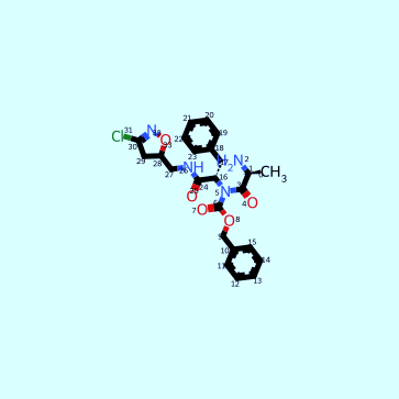 C[C@H](N)C(=O)N(C(=O)OCc1ccccc1)[C@@H](Cc1ccccc1)C(=O)NCC1CC(Cl)=NO1